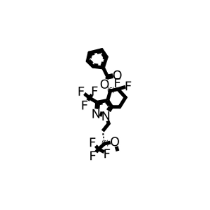 CO[C@@H](CCn1nc(C(F)(F)F)c2c1CCC(F)(F)[C@H]2OC(=O)c1ccccc1)C(F)(F)F